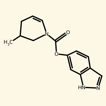 CC1CC=CN(C(=O)Oc2ccc3cn[nH]c3c2)C1